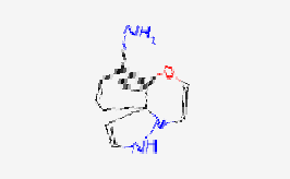 NC1=C2OC=CN3NC=CC23CC=C1